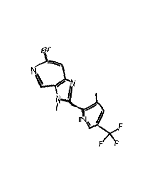 Cc1cc(C(F)(F)F)cnc1-c1nc2cc(Br)ncc2n1C